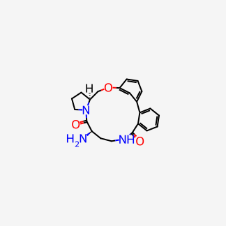 N[C@@H]1CCNC(=O)c2ccccc2-c2cccc(c2)OC[C@@H]2CCCN2C1=O